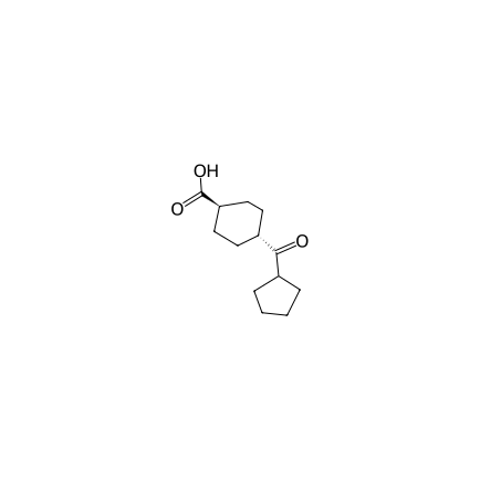 O=C(O)[C@H]1CC[C@H](C(=O)C2CCCC2)CC1